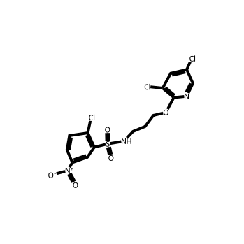 O=[N+]([O-])c1ccc(Cl)c(S(=O)(=O)NCCCOc2ncc(Cl)cc2Cl)c1